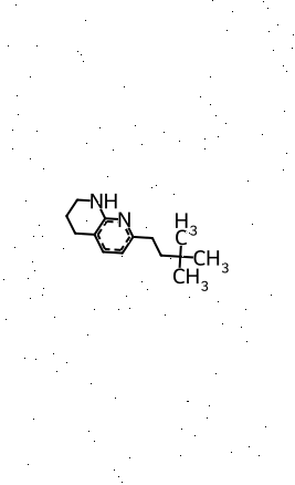 CC(C)(C)CCc1ccc2c(n1)NCCC2